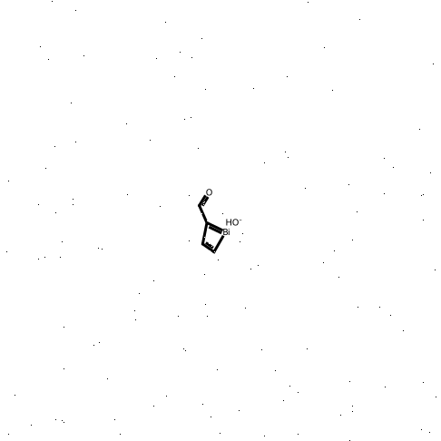 O=C[C]1=[Bi][CH]=C1.[OH-]